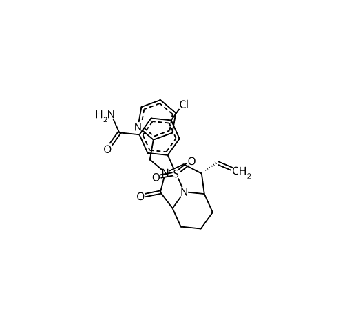 C=C[C@H]1CN(Cc2ccccn2)C(=O)C2CCCC1N2S(=O)(=O)c1cc(Cl)cc(C(N)=O)c1